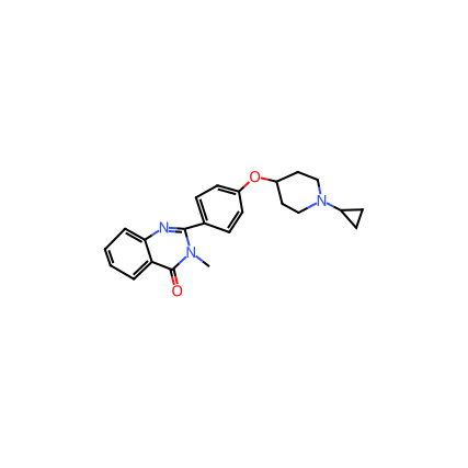 Cn1c(-c2ccc(OC3CCN(C4CC4)CC3)cc2)nc2ccccc2c1=O